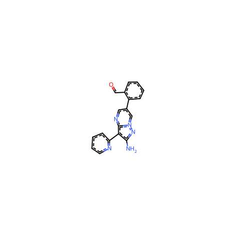 Nc1nn2cc(-c3ccccc3C=O)cnc2c1-c1ccccn1